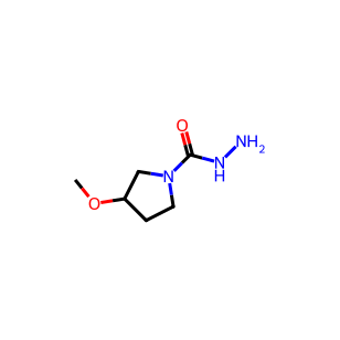 COC1CCN(C(=O)NN)C1